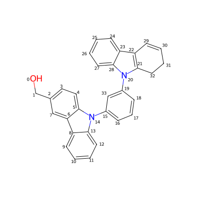 OCc1ccc2c(c1)c1ccccc1n2-c1cccc(-n2c3c(c4ccccc42)C=CCC3)c1